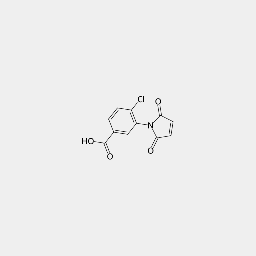 O=C(O)c1ccc(Cl)c(N2C(=O)C=CC2=O)c1